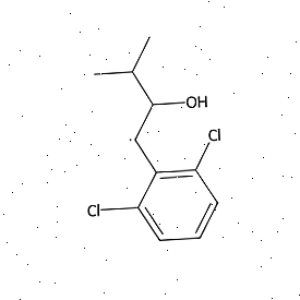 CC(C)C(O)[CH]c1c(Cl)cccc1Cl